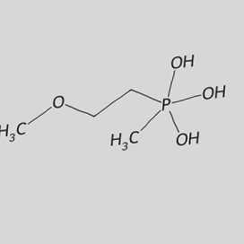 COCCP(C)(O)(O)O